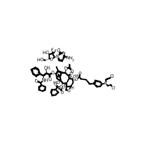 CC(=O)O[C@H]1C(=O)[C@@]2(C)[C@H]([C@H](OC(=O)c3ccccc3)[C@]3(O)C[C@H](OC(=O)[C@H](O)[C@@H](NC(=O)c4ccccc4)c4ccccc4)C(C)=C1C3(C)C)[C@]1(OC(C)=O)CO[C@@H]1C[C@@H]2O.Nc1ccn([C@@H]2O[C@H](CO)[C@@H](O)C2(F)F)c(=O)n1.O=C(O)CCCc1ccc(N(CCCl)CCCl)cc1